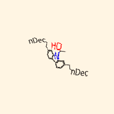 CCCCCCCCCCCCc1ccc2c3ccc(CCCCCCCCCCCC)cc3n(C(C)O)c2c1